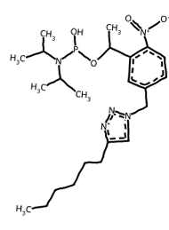 CCCCCCc1cn(Cc2ccc([N+](=O)[O-])c(C(C)OP(O)N(C(C)C)C(C)C)c2)nn1